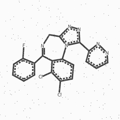 Fc1ccccc1C1=NCc2nnc(-c3cccnn3)n2-c2ccc(Cl)c(Cl)c21